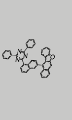 c1ccc(-c2nc(-c3ccccc3)nc(-c3cccc4cc(-c5c6ccccc6cc6oc7ccccc7c56)ccc34)n2)cc1